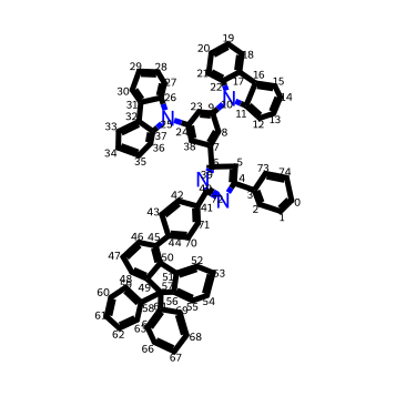 c1ccc(-c2cc(-c3cc(-n4c5ccccc5c5ccccc54)cc(-n4c5ccccc5c5ccccc54)c3)nc(-c3ccc(-c4cccc5c4-c4ccccc4C5(c4ccccc4)c4ccccc4)cc3)n2)cc1